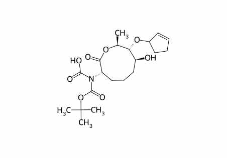 C[C@@H]1OC(=O)[C@@H](N(C(=O)O)C(=O)OC(C)(C)C)CCC[C@H](O)[C@H]1OC1C=CCC1